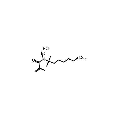 C=C(C)C(=O)N(CC)C(C)(C)CCCCCCCCCCCCCCC.Cl